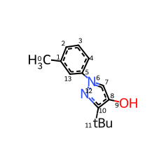 Cc1cccc(-n2cc(O)c(C(C)(C)C)n2)c1